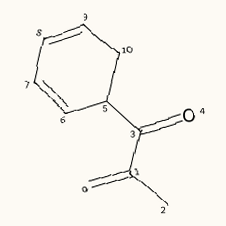 C=C(C)C(=O)C1C=CC=CC1